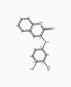 O=c1oc2ccccc2cc1Sc1ccc(F)c(Cl)c1